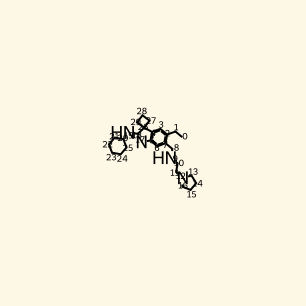 CCc1cc2c(cc1CNCCN1CCCC1)N=C(NC1CCCCC1)C21CCC1